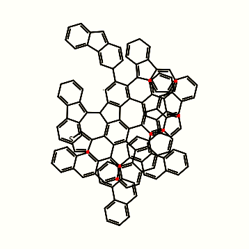 [c]1c(C2C=CC3=Cc4ccccc4C3=C2)c(C2=C3C=CCC=C3c3ccccc32)c(-c2cc3c(-c4ccc(-c5cccc6c5ccc5ccccc56)c5ccc6ccccc6c45)cccc3c3ccccc23)c2c1C(C1=C3C=CCC=C3c3ccccc31)c1c(-c3ccsc3)c(-c3cccc4cc5ccccc5cc34)c(-c3c4ccccc4cc4ccccc34)c(-c3ccc4cc5ccccc5cc4c3)c1-2